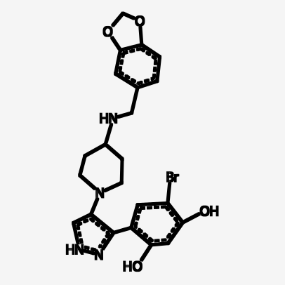 Oc1cc(O)c(-c2n[nH]cc2N2CCC(NCc3ccc4c(c3)OCO4)CC2)cc1Br